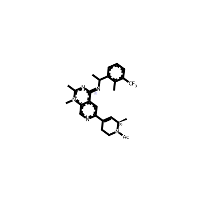 CC(=O)N1CCC(c2cc3/c(=N/C(C)c4cccc(C(F)(F)F)c4C)nc(C)n(C)c3cn2)=C[C@H]1C